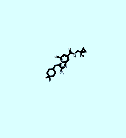 N#CC1(CNC(=O)c2cc(Cl)n3c(CC4CCC(F)(F)CC4)c(C(F)(F)F)nc3c2)CC1